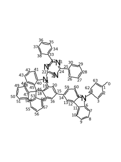 Cc1ccc(-n2c3ccccc3c3cc(-c4ccc5c(c4)N(c4nc(-c6ccccc6)nc(-c6ccccc6)n4)c4ccccc4C5(c4ccccc4)c4ccccc4)ccc32)cc1